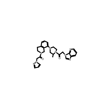 CC1CN(c2cccc3c2CN(C(=O)Cn2cccn2)CC3)CCN1C(=O)Cn1cnc2cccnc21